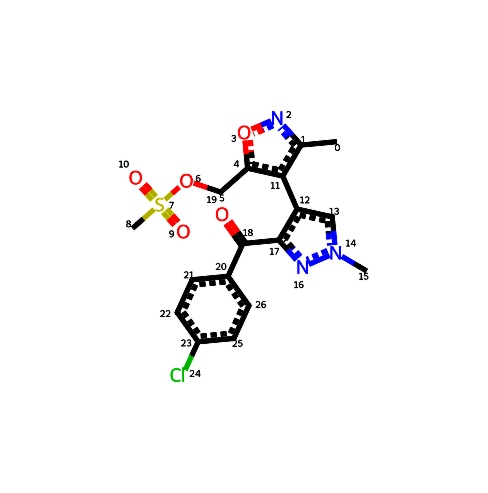 Cc1noc(COS(C)(=O)=O)c1-c1cn(C)nc1C(=O)c1ccc(Cl)cc1